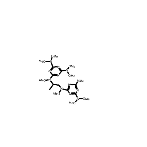 CNc1nc(N(CC(C)N(OC)c2nc(N(OC)OC)nc(N(OC)OC)n2)OC)nc(N(OC)OC)n1